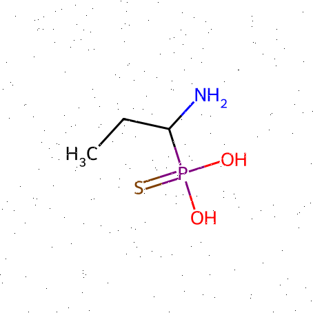 CCC(N)P(O)(O)=S